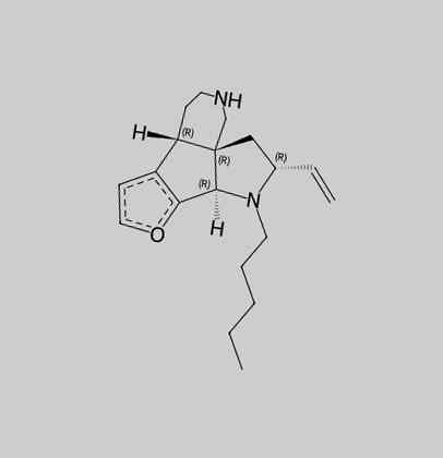 C=C[C@H]1C[C@]23CNCC[C@H]2c2ccoc2[C@@H]3N1CCCCC